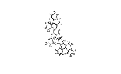 Fc1ccc(N(c2ccc(-c3ccc4ccccc4c3-c3ccccc3)cc2)c2ccc(-c3ccc4ccccc4c3-c3ccccc3)cc2)cc1